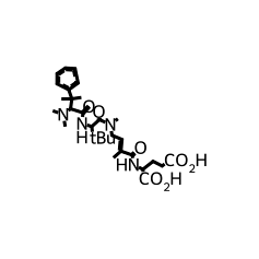 C/C(=C\CN(C)C(=O)C(NC(=O)C(N(C)C)C(C)(C)c1ccccc1)C(C)(C)C)C(=O)NC(CCC(=O)O)C(=O)O